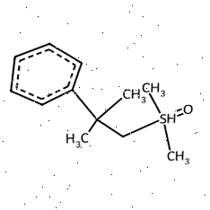 CC(C)(C[SH](C)(C)=O)c1ccccc1